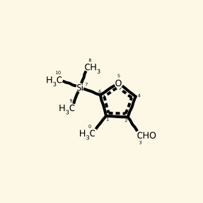 Cc1c(C=O)coc1[Si](C)(C)C